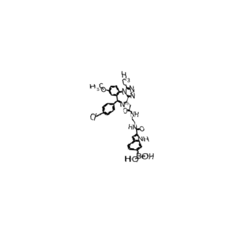 COc1ccc2c(c1)C(c1ccc(Cl)cc1)=N[C@@H](CC(=O)NCCNC(=O)c1cc3ccc(B(O)O)cc3[nH]1)c1nnc(C)n1-2